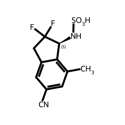 Cc1cc(C#N)cc2c1[C@H](NS(=O)(=O)O)C(F)(F)C2